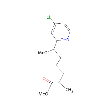 COC(=O)C(C)CCCC(OC)c1cc(Cl)ccn1